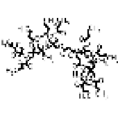 CCCC(=O)OCC(COC(=O)CCC)(COC(=O)CC(=O)OCC(COC(=O)CCC)(COC(=O)CCC)COC(CC)(CC)CC(COC(=O)CCC)(COC(=O)CCC)COC(C)(CC)C(=O)CCC)COC(C)(C)CC(COC(=O)CCC)(COC(=O)CCC)COC(CC)(CC)C(=O)CCC